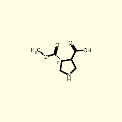 COC(=O)[C@H]1CNCC1C(=O)O